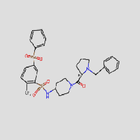 O=C([C@H]1CCCN1Cc1ccccc1)N1CCC(NS(=O)(=O)c2cc(S(=O)(=O)c3ccccc3)ccc2C(F)(F)F)CC1